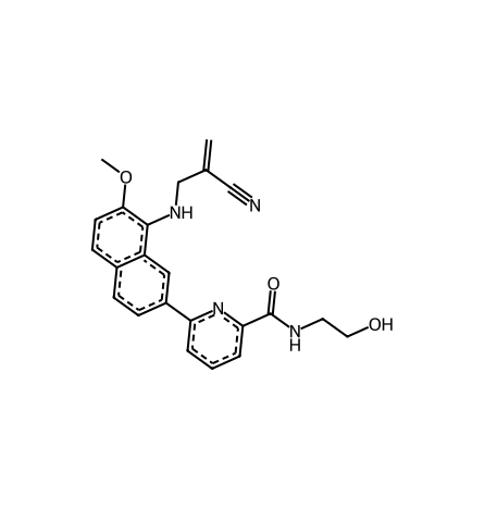 C=C(C#N)CNc1c(OC)ccc2ccc(-c3cccc(C(=O)NCCO)n3)cc12